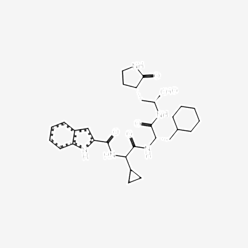 O=C[C@H](C[C@@H]1CCNC1=O)NC(=O)[C@H](CC1CCCCC1)NC(=O)C(NC(=O)c1cc2ccccc2[nH]1)C1CC1